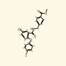 COC(=O)c1ccc(CNC(=O)c2cc(Cl)cnc2Oc2ccc(F)cc2)cc1